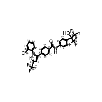 O=C(Nc1ccc(C(O)(C(F)(F)F)C(F)(F)F)cc1)c1ccc(-c2cc(C(F)(F)F)nn2-c2ccccc2Cl)cc1